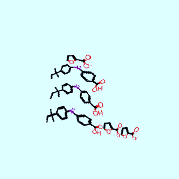 CCC(C)(C)c1ccc([I+]c2ccc(C(=O)O)cc2)cc1.CCC(C)(C)c1ccc([I+]c2ccc(C(=O)O)cc2)cc1.CCC(C)(C)c1ccc([I+]c2ccc(C(=O)O)cc2)cc1.O=C([O-])c1ccco1.O=C([O-])c1ccco1.O=C([O-])c1ccco1